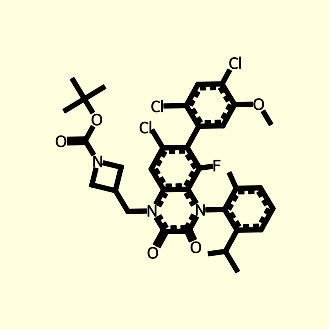 COc1cc(-c2c(Cl)cc3c(c2F)n(-c2c(C)cccc2C(C)C)c(=O)c(=O)n3CC2CN(C(=O)OC(C)(C)C)C2)c(Cl)cc1Cl